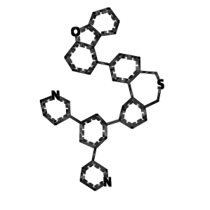 c1cncc(-c2cc(-c3cccnc3)cc(-c3ccc4c(c3)-c3cc(-c5cccc6oc7ccccc7c56)ccc3CSC4)c2)c1